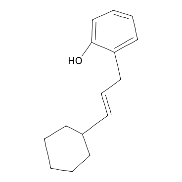 Oc1ccccc1C/C=C/C1CCCCC1